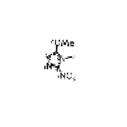 COc1cnc([N+](=O)[O-])n1C